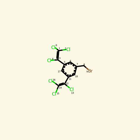 ClC(Cl)=C(Cl)c1cc(CBr)cc(C(Cl)=C(Cl)Cl)c1